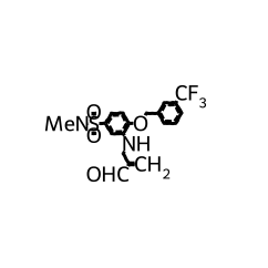 C=C(C=O)CNc1cc(S(=O)(=O)NC)ccc1OCc1cccc(C(F)(F)F)c1